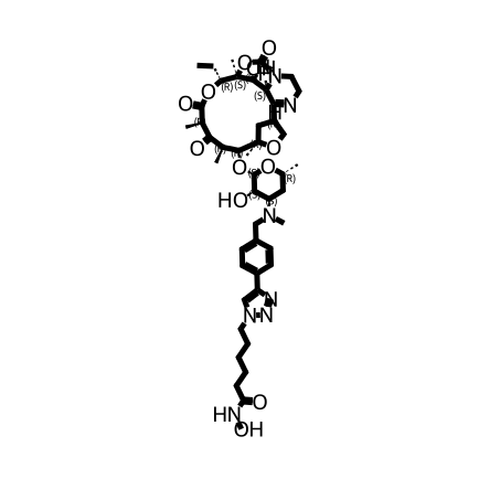 CC[C@H]1OC(=O)[C@H](C)C(=O)[C@H](C)[C@@H](O[C@@H]2O[C@H](C)C[C@H](N(C)Cc3ccc(-c4cn(CCCCCC(=O)NO)nn4)cc3)[C@@H]2O)[C@@]2(C)C[C@@H](CO2)C2=NCCN3C(=O)O[C@@]1(C)[C@H](O)[C@H]23